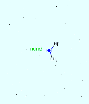 C[NH][Hf].Cl.Cl